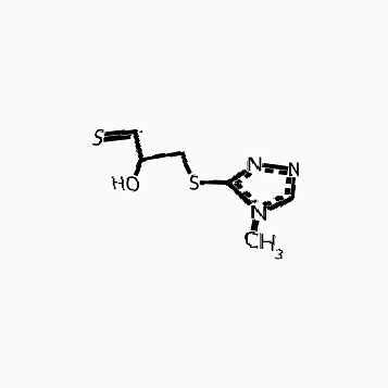 Cn1cnnc1SCC(O)[C]=S